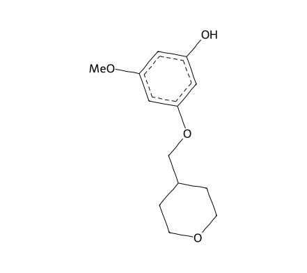 COc1cc(O)cc(OCC2CCOCC2)c1